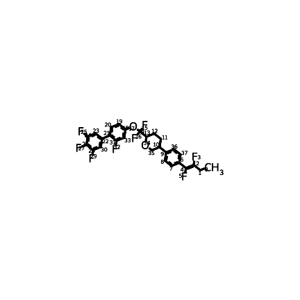 CC/C(F)=C(\F)c1ccc(C2CCC(C(F)(F)Oc3ccc(-c4cc(F)c(F)c(F)c4)c(F)c3)OC2)cc1